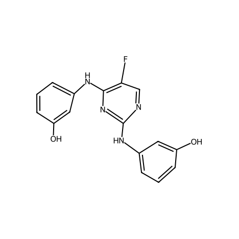 Oc1cccc(Nc2ncc(F)c(Nc3cccc(O)c3)n2)c1